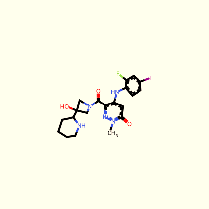 Cn1nc(C(=O)N2CC(O)(C3CCCCN3)C2)c(Nc2ccc(I)cc2F)cc1=O